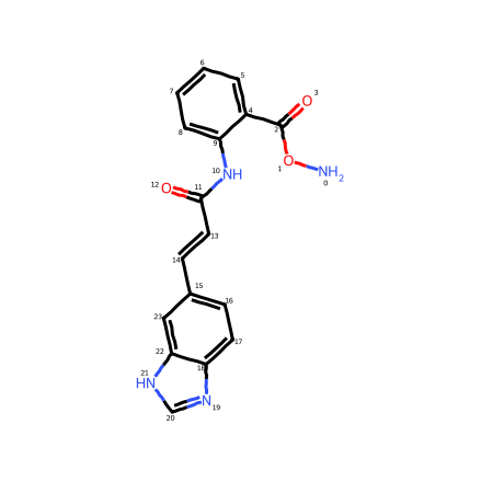 NOC(=O)c1ccccc1NC(=O)/C=C/c1ccc2nc[nH]c2c1